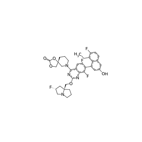 CCc1c(F)ccc2cc(O)cc(-c3c(F)cc4c(N5CCC[C@]6(COC(=O)O6)C5)nc(OC[C@@]56CCCN5C[C@H](F)C6)nc4c3F)c12